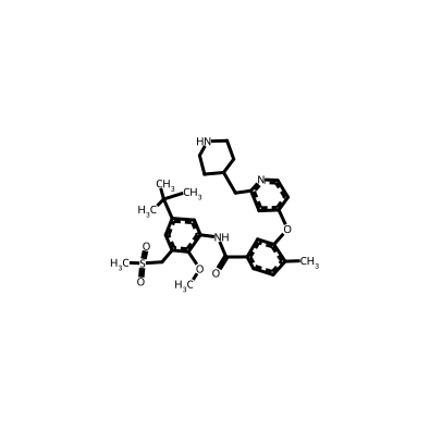 COc1c(CS(C)(=O)=O)cc(C(C)(C)C)cc1NC(=O)c1ccc(C)c(Oc2ccnc(CC3CCNCC3)c2)c1